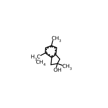 C.Cc1cc(C)c2c(c1)CC(C)(O)C2